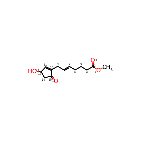 COC(=O)CCCC=CCC1=C[C@H](O)CC1=O